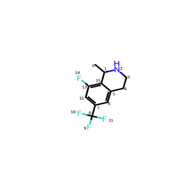 CC1NCCc2cc(C(F)(F)F)cc(F)c21